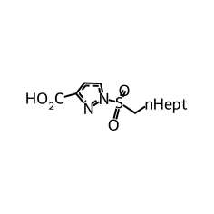 CCCCCCCCS(=O)(=O)n1ccc(C(=O)O)n1